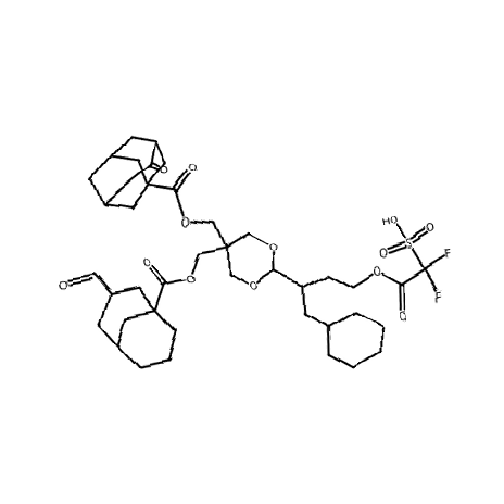 O=CC1CC2CCCC(C(=O)OCC3(COC(=O)C45CC6CC(C4)C(=O)C(C6)C5)COC(C(CCOC(=O)C(F)(F)S(=O)(=O)O)CC4CCCCC4)OC3)(C1)C2